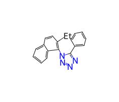 CCc1ccc2ccccc2c1-n1nnnc1-c1ccccc1